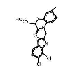 Cc1ccc2c(c1)OC(CC(=O)O)C(=O)N2Cc1nc2c(Cl)c(Cl)ccc2s1